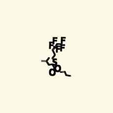 CCCCOC(=O)C(CC(C)C)SCCCC(F)(F)C(F)C(F)F